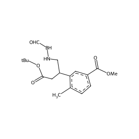 COC(=O)c1ccc(C)c(C(CNBC=O)CC(=O)OC(C)(C)C)c1